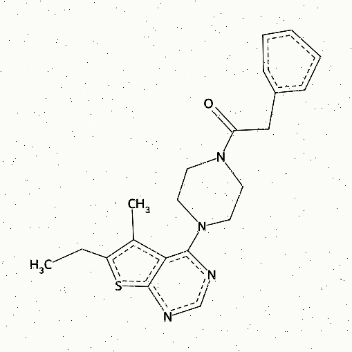 CCc1sc2ncnc(N3CCN(C(=O)Cc4ccccc4)CC3)c2c1C